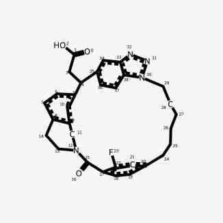 O=C(O)CC1c2ccc3c(c2)CN(CC3)C(=O)c2ccc(cc2F)CCCCCCn2nnc3cc1ccc32